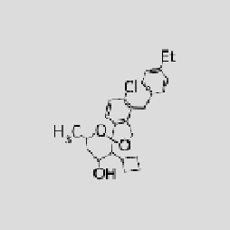 CCc1ccc(Cc2c(Cl)ccc3c2COC32OC(C)CC(O)C2C2CCC2)cc1